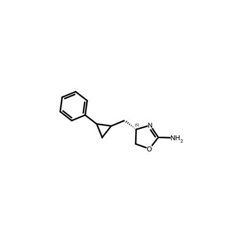 NC1=N[C@@H](CC2CC2c2ccccc2)CO1